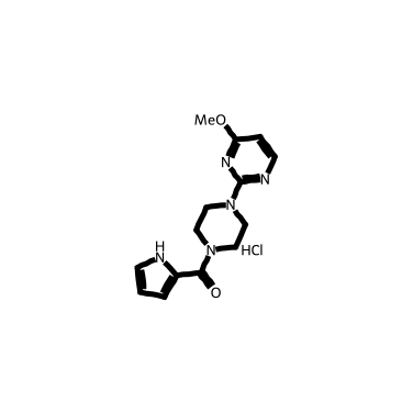 COc1ccnc(N2CCN(C(=O)c3ccc[nH]3)CC2)n1.Cl